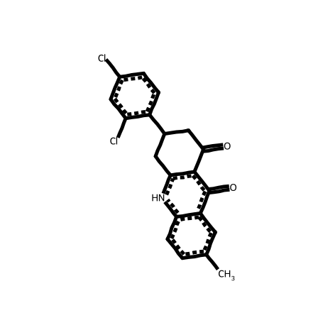 Cc1ccc2[nH]c3c(c(=O)c2c1)C(=O)CC(c1ccc(Cl)cc1Cl)C3